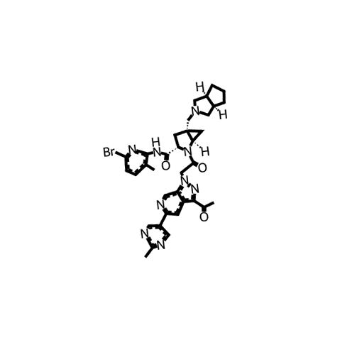 CC(=O)c1nn(CC(=O)N2[C@H](C(=O)Nc3nc(Br)ccc3C)C[C@@]3(CN4C[C@H]5CCC[C@H]5C4)C[C@@H]23)c2cnc(-c3cnc(C)nc3)cc12